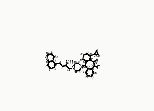 OC(CCc1cccc2ncccc12)CN1CCN(C2c3ccccc3C(F)C(F)c3c(C4CC4)cccc32)CC1